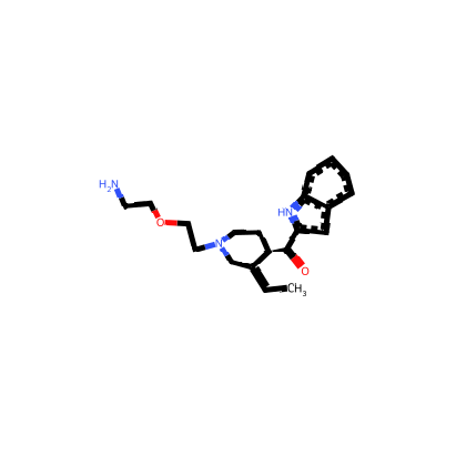 C/C=C1/CN(CCOCCN)CC[C@H]1C(=O)c1cc2ccccc2[nH]1